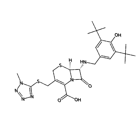 Cn1nnnc1SCC1=C(C(=O)O)N2C(=O)[C@@H](NCc3cc(C(C)(C)C)c(O)c(C(C)(C)C)c3)[C@@H]2SC1